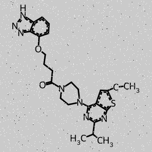 CCc1cc2c(N3CCN(C(=O)CCCOc4cccc5[nH]nnc45)CC3)nc(C(C)C)nc2s1